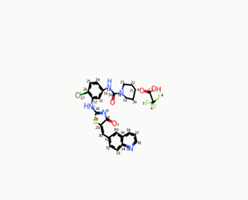 O=C(O)C(F)(F)F.O=C1N=C(Nc2cc(NC(=O)N3CCCCC3)ccc2Cl)SC1=Cc1ccc2ncccc2c1